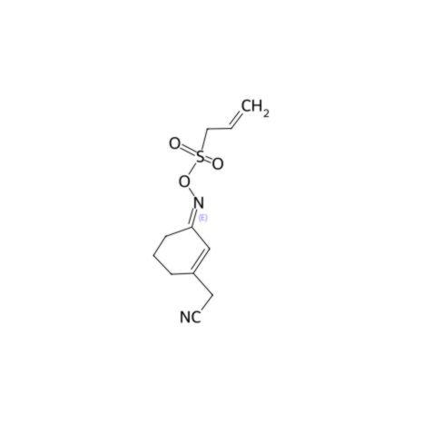 C=CCS(=O)(=O)O/N=C1/C=C(CC#N)CCC1